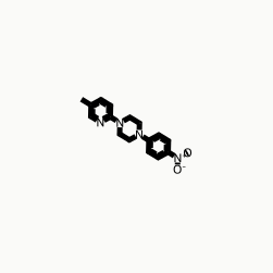 Cc1ccc(N2CCN(c3ccc([N+](=O)[O-])cc3)CC2)nc1